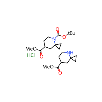 COC(=O)C1CCN(C(=O)OC(C)(C)C)C2(CC2)C1.COC(=O)C1CCNC2(CC2)C1.Cl